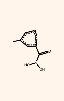 Cc1ccnc(C(=O)N(O)O)c1